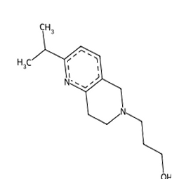 CC(C)c1ccc2c(n1)CCN(CCCO)C2